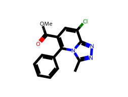 COC(=O)c1cc(Cl)c2nnc(C)n2c1-c1ccccc1